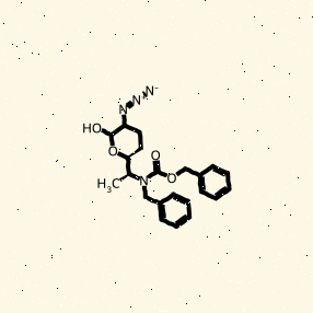 C[C@@H]([C@@H]1CCC(N=[N+]=[N-])C(O)O1)N(Cc1ccccc1)C(=O)OCc1ccccc1